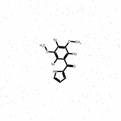 [2H]c1c(OC)c([2H])c(C(=O)c2ccc[nH]2)c([2H])c1OC